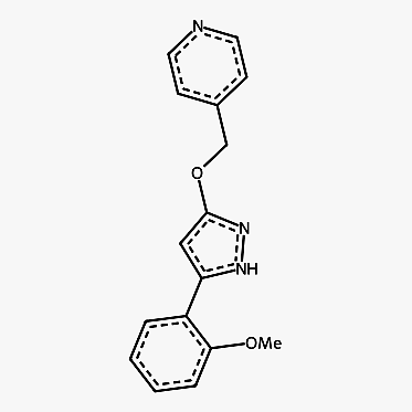 COc1ccccc1-c1cc(OCc2ccncc2)n[nH]1